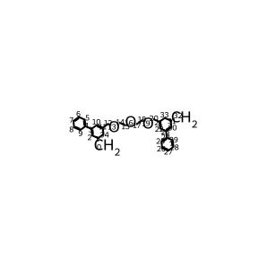 C=C1C=C(c2ccccc2)C=C(COCCOCCOCC2=CC(c3ccccc3)=CC(=C)C2)C1